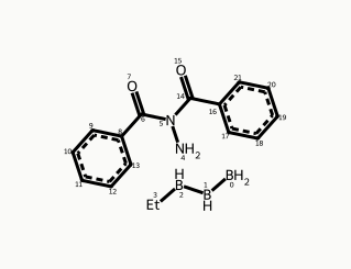 BBBCC.NN(C(=O)c1ccccc1)C(=O)c1ccccc1